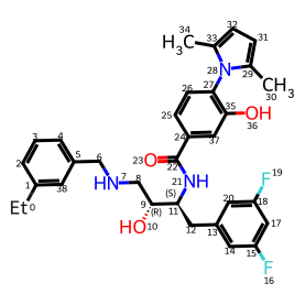 CCc1cccc(CNC[C@@H](O)[C@H](Cc2cc(F)cc(F)c2)NC(=O)c2ccc(-n3c(C)ccc3C)c(O)c2)c1